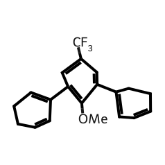 COc1c(C2=CCCC=C2)cc(C(F)(F)F)cc1C1=CC=CCC1